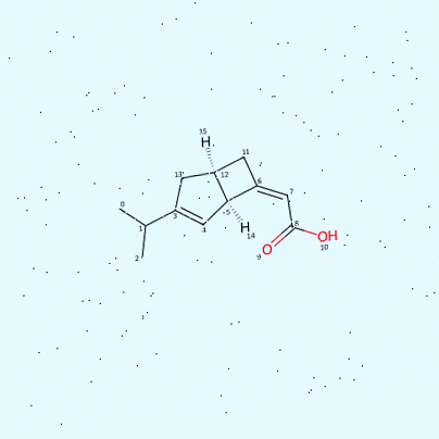 CC(C)C1=C[C@@H]2/C(=C\C(=O)O)C[C@@H]2C1